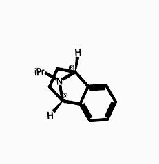 CC(C)N1[C@@H]2CC[C@H]1c1ccccc12